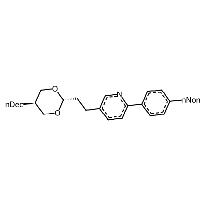 CCCCCCCCCC[C@H]1CO[C@H](CCc2ccc(-c3ccc(CCCCCCCCC)cc3)nc2)OC1